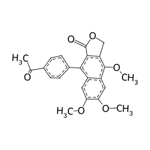 COc1cc2c(OC)c3c(c(-c4ccc(C(C)=O)cc4)c2cc1OC)C(=O)OC3